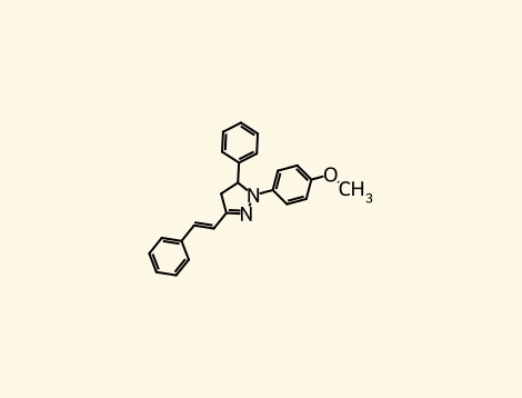 COc1ccc(N2N=C(C=Cc3ccccc3)CC2c2ccccc2)cc1